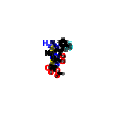 CC(=O)OCC1(C(=O)[O-])CS[C@@H]2C(NC(=O)C(=Cc3ccccc3C(F)(F)F)c3csc(N)n3)C(=O)N2C1.[Na+]